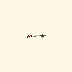 CCCCOC(=O)CCCCCCCCCCCCC(CC(=O)OCCCC)C(C)C